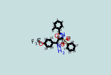 Cc1ccccc1-c1nc(S(=O)(=O)c2ccccc2)c(C(N)c2ccc(OC(F)(F)F)cc2)o1